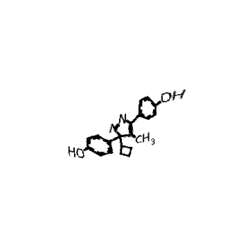 CC1=C(c2ccc(O)cc2)N=NC1(c1ccc(O)cc1)C1CCC1